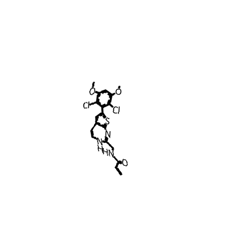 C=CC(=O)NCC1=Nc2sc(-c3c(Cl)c(OC)cc(OC)c3Cl)cc2C=CN1